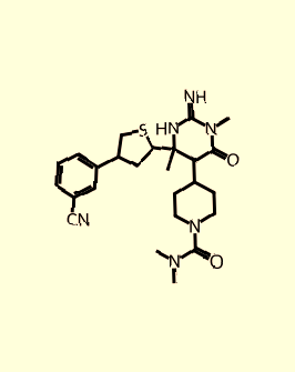 CN(C)C(=O)N1CCC(C2C(=O)N(C)C(=N)NC2(C)C2CC(c3cccc(C#N)c3)CS2)CC1